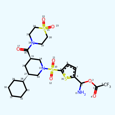 NC(OC(=O)C(F)(F)F)c1ccc(S(=O)(=O)N2C[C@H](C(=O)N3CCS(=O)(=O)CC3)C[C@@H](C3CCCCC3)C2)s1